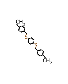 C=Cc1ccc(CSc2ccc(SCc3ccc(C=C)cc3)cc2)cc1